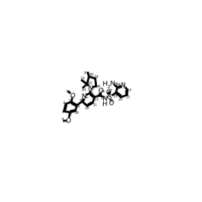 COc1ccc(OC)c(-c2ccc(C(=O)NS(=O)(=O)c3cccnc3N)c(N3CCC(C)C3(C)C)n2)c1